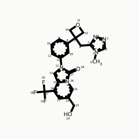 Cn1cnnc1CC1(c2cccc(-n3cc4c(C(F)(F)F)cc(CO)cn4c3=O)c2)COC1